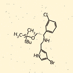 CC(C)(C)[Si](C)(C)OC[C@@H](NCc1cc(Br)c[nH]1)c1cccc(Cl)c1